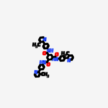 Cc1cccnc1-c1ccc(NC(=O)C2CC(C(=O)Nc3ccc(-c4ncccc4C)cc3)CC(C(=O)Nc3ccc(-c4ncccc4C)cc3)C2)cc1